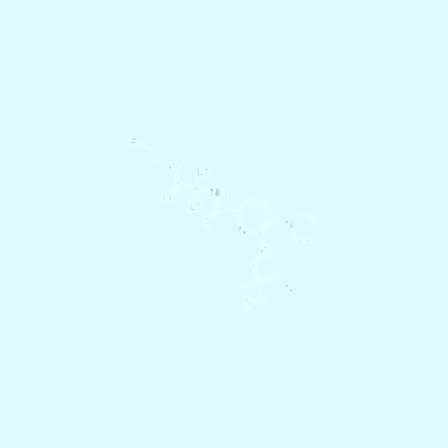 CCC(CC)(NC(=O)c1ccc(N2CCCC2)c(OCC2(CN=O)COC2)n1)C(=O)OCCF